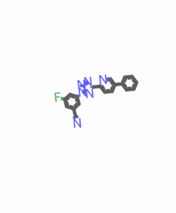 N#Cc1cc(F)cc(-n2nnc(-c3ccc(-c4ccccc4)cn3)n2)c1